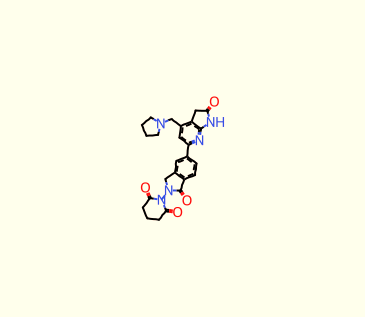 O=C1Cc2c(CN3CCCC3)cc(-c3ccc4c(c3)CN(N3C(=O)CCCC3=O)C4=O)nc2N1